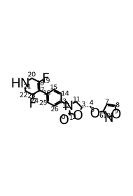 O=C1O[C@@H](COc2ccon2)CN1c1ccc(C2=C(F)CNCC2F)cc1